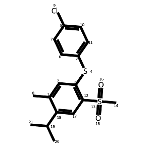 Cc1cc(Sc2ccc(Cl)cc2)c(S(C)(=O)=O)cc1C(C)C